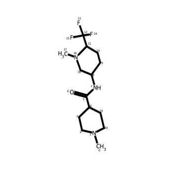 CN1CCC(C(=O)NC2CCC(C(F)(F)F)N(C)C2)CC1